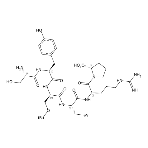 CC(C)C[C@H](NC(=O)[C@@H](COC(C)(C)C)NC(=O)[C@H](Cc1ccc(O)cc1)NC(=O)[C@@H](N)CO)C(=O)N[C@@H](CCCNC(=N)N)C(=O)N1CCC[C@H]1C(=O)O